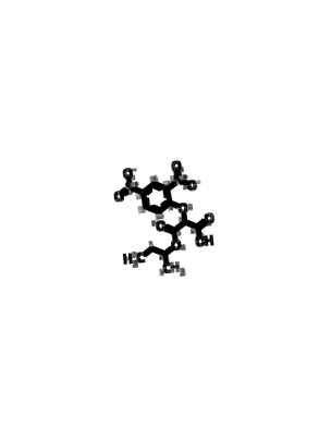 CCC(C)OC(=O)C(Oc1ccc([N+](=O)[O-])cc1[N+](=O)[O-])C(=O)O